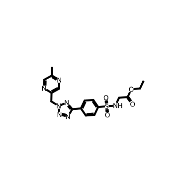 CCOC(=O)CNS(=O)(=O)c1ccc(-c2nnn(Cc3cnc(C)cn3)n2)cc1